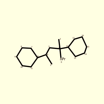 CCCC(C)(CC(C)C1CCCCC1)C1CCCCC1